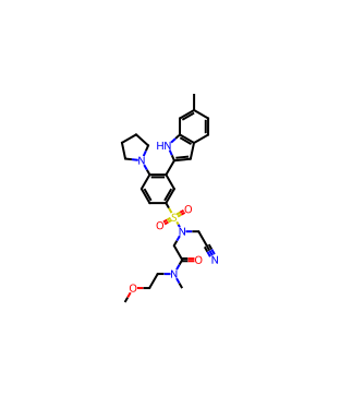 COCCN(C)C(=O)CN(CC#N)S(=O)(=O)c1ccc(N2CCCC2)c(-c2cc3ccc(C)cc3[nH]2)c1